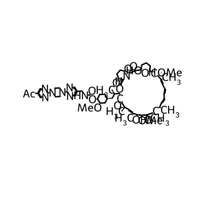 CO[C@H]1C[C@@H]2CCC[C@@](O)(O2)C(=O)C(=O)N2CCCC[C@H]2C(=O)O[C@H]([C@H](C)C[C@@H]2CC[C@@H](OC(=O)NCc3cnc(N4CCN(c5ncc(C(C)=O)cn5)CC4)nc3)[C@H](OC)C2)CC(=O)[C@H](C)/C=C(\C)[C@@H](O)[C@@H](OC)C(=O)[C@H](C)C[C@H](C)/C=C/C=C/C=C/1C